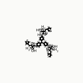 N[C@](CO)(C(=O)Cc1ccsc1)C(=O)Nc1ccc(C(c2ccc(NC(=O)[C@@](N)(CO)C(=O)Cc3ccsc3)cc2)c2ccc(NC(=O)[C@@](N)(CO)C(=O)Cc3ccsc3)cc2)cc1